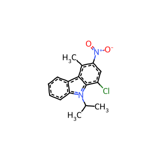 Cc1c([N+](=O)[O-])cc(Cl)c2c1c1ccccc1n2C(C)C